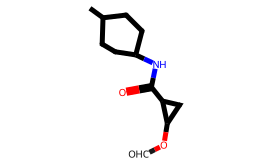 CC1CCC(NC(=O)C2CC2OC=O)CC1